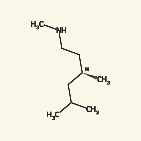 CNCC[C@H](C)CC(C)C